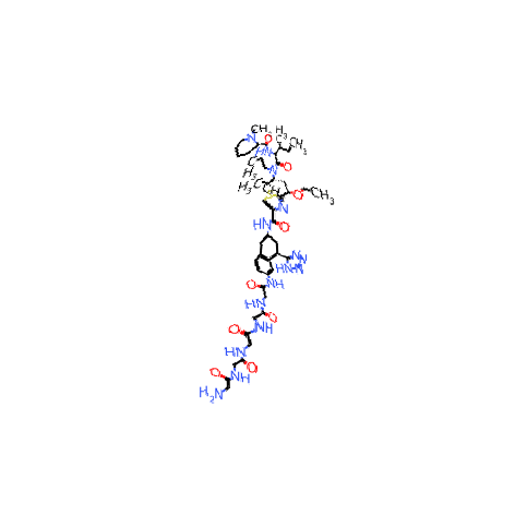 CCCN(C(=O)[C@@H](NC(=O)[C@H]1CCCCN1C)[C@@H](C)CC)[C@H](C[C@@H](OCC)c1nc(C(=O)N[C@H]2Cc3ccc(NC(=O)CNC(=O)CNC(=O)CNC(=O)CNC(=O)CN)cc3[C@H](c3nnn[nH]3)C2)cs1)C(C)C